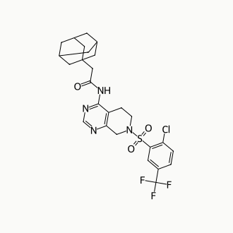 O=C(CC12CC3CC(CC(C3)C1)C2)Nc1ncnc2c1CCN(S(=O)(=O)c1cc(C(F)(F)F)ccc1Cl)C2